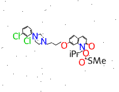 CSC(=O)OC(C(C)C)n1c(=O)ccc2ccc(OCCCCN3CCN(c4cccc(Cl)c4Cl)CC3)cc21